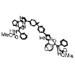 COC(=O)N[C@@H](C(=O)N1CCC[C@H]1c1ncc(C2=CCC(C)(c3ccc(-c4cnc([C@@H]5COCCN5C(=O)[C@H](NC(=O)OC)c5ccccc5)[nH]4)cc3)CC2)[nH]1)c1ccccc1